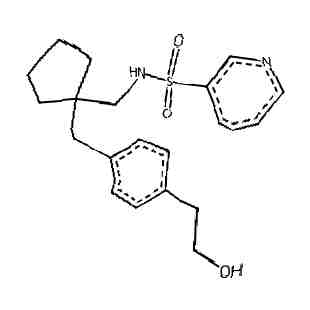 O=S(=O)(NCC1(Cc2ccc(CCO)cc2)CCCC1)c1cccnc1